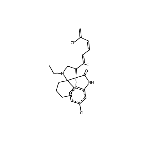 C=C(Cl)/C=C\C=C(/F)C1CN(CC)C2(CCCCC2)[C@@]12C(=O)Nc1cc(Cl)ccc12